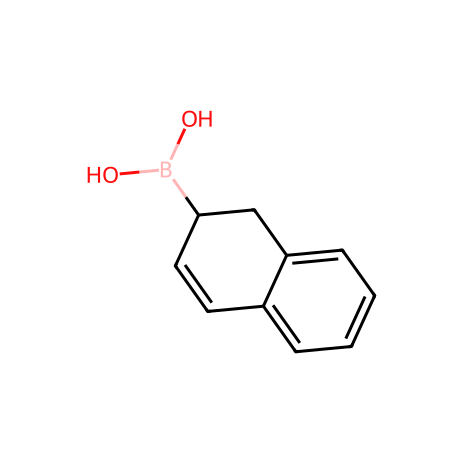 OB(O)C1C=Cc2ccccc2C1